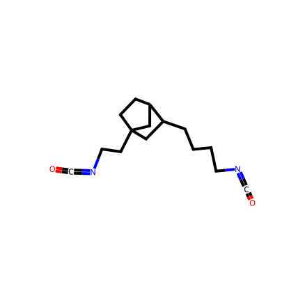 O=C=NCCCCC1CC2(CCN=C=O)CCC1C2